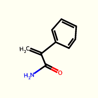 C=C(C(N)=O)c1ccccc1